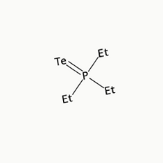 CCP(=[Te])(CC)CC